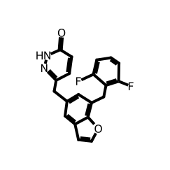 O=c1ccc(Cc2cc(Cc3c(F)cccc3F)c3occc3c2)n[nH]1